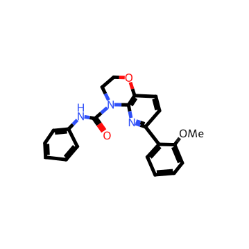 COc1ccccc1-c1ccc2c(n1)N(C(=O)Nc1ccccc1)CCO2